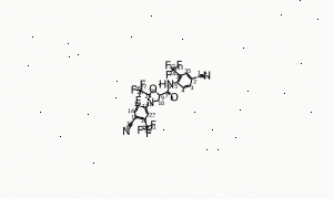 N#Cc1ccc(NC(=O)C2CN(c3ccc(C#N)c(C(F)(F)F)c3)C(C(F)(F)F)O2)c(C(F)(F)F)c1